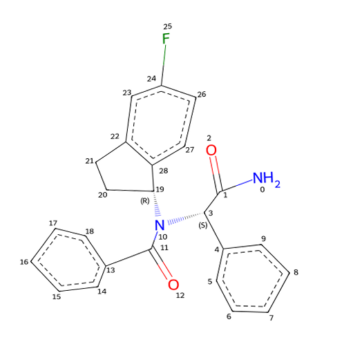 NC(=O)[C@H](c1ccccc1)N(C(=O)c1ccccc1)[C@@H]1CCc2cc(F)ccc21